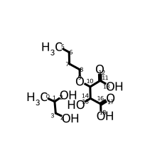 CC(O)CO.CCCCOC(C(=O)O)C(O)C(=O)O